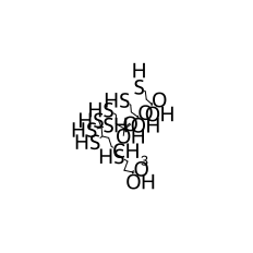 CCCC(S)C(S)(S)S.O=C(O)CCS.O=C(O)CCS.O=C(O)CCS.O=C(O)CCS